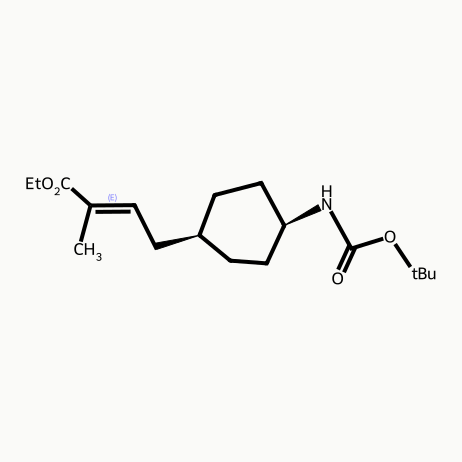 CCOC(=O)/C(C)=C/C[C@H]1CC[C@@H](NC(=O)OC(C)(C)C)CC1